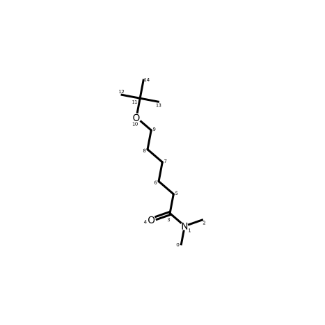 CN(C)C(=O)CCCCCOC(C)(C)C